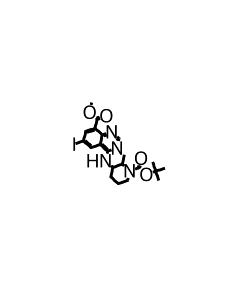 COC(=O)c1cc(I)cc2c(NC3CCCN(C(=O)OC(C)(C)C)C3C)ncnc12